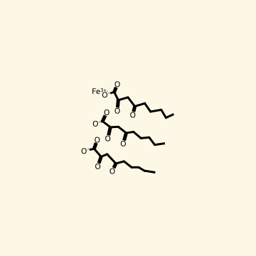 CCCCCC(=O)CC(=O)C(=O)[O-].CCCCCC(=O)CC(=O)C(=O)[O-].CCCCCC(=O)CC(=O)C(=O)[O-].[Fe+3]